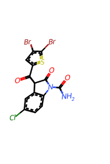 NC(=O)N1C(=O)C(C(=O)c2cc(Br)c(Br)s2)c2cc(Cl)ccc21